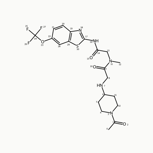 CC(=O)N1CCC(NCC(=O)N(C)CC(=O)Nc2nc3ccc(OC(F)(F)F)cc3s2)CC1